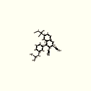 CCC(C)(C)c1ccc2cc(C#N)c(C#N)c(-c3cccc(CC(F)F)c3)c2c1